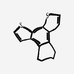 c1cc2c3c(c4ccsc4c2s1)CCC3